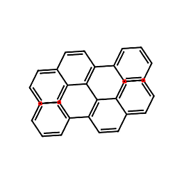 c1ccc(-c2ccc3ccccc3c2-c2c(-c3ccccc3)ccc3ccccc23)cc1